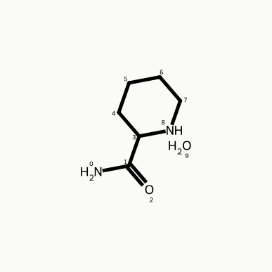 NC(=O)C1CCCCN1.O